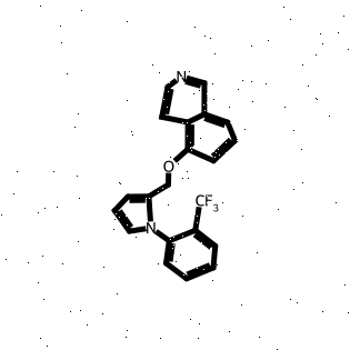 FC(F)(F)c1ccccc1-n1cccc1COc1cccc2cnccc12